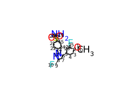 COc1ccc(-c2cc(CF)nn2-c2ccc(S(N)(=O)=O)cc2)cc1F